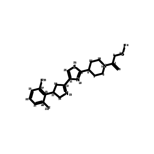 C=C(CSF)N1CCC(c2nc(C3=NCC(c4c(F)cccc4F)C3)cs2)CC1